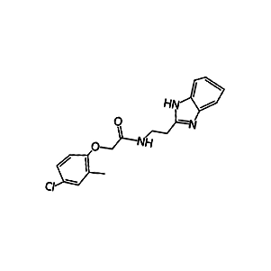 Cc1cc(Cl)ccc1OCC(=O)NCCc1nc2ccccc2[nH]1